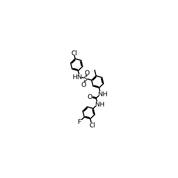 Cc1ccc(NC(=O)Nc2ccc(F)c(Cl)c2)cc1S(=O)(=O)Nc1ccc(Cl)cc1